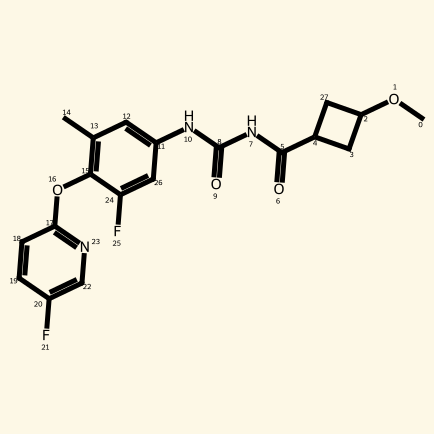 COC1CC(C(=O)NC(=O)Nc2cc(C)c(Oc3ccc(F)cn3)c(F)c2)C1